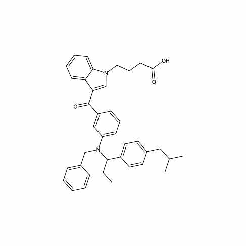 CCC(c1ccc(CC(C)C)cc1)N(Cc1ccccc1)c1cccc(C(=O)c2cn(CCCC(=O)O)c3ccccc23)c1